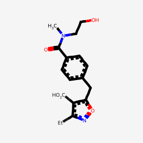 CCc1noc(Cc2ccc(C(=O)N(C)CCO)cc2)c1C(=O)O